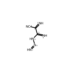 N#CC(=N)C(=N)NN=N